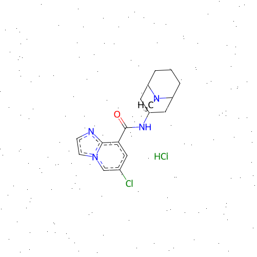 CN1C2CCCC1CC(NC(=O)c1cc(Cl)cn3ccnc13)C2.Cl